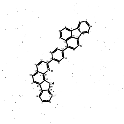 c1ccc2c(c1)-c1cccc3c(-c4ccc(-c5ccc6ccc7c8cccnc8[nH]c7c6n5)cc4)ccc-2c13